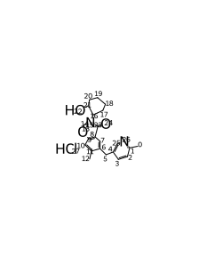 Cc1ccc(Cc2cc3c(cc2C)OCN(C2CCCCC2O)C3=O)cn1.Cl